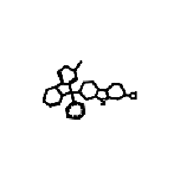 CC1C=C2C(=CC1)C1CCC=CC1C2(c1ccccc1)C1CCC2C(C1)SC1CC(Cl)CCC12